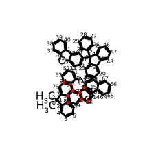 CC1(C)c2ccccc2-c2c(-c3ccccc3N(c3ccc4c(c3)C(c3ccccc3)(c3ccc5oc6ccccc6c5c3)c3ccccc3-4)c3ccccc3-c3cccc4oc5c6ccccc6ccc5c34)cccc21